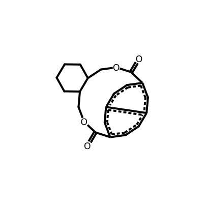 O=C1OCC2CCCCC2COC(=O)c2ccc3cc1ccc3c2